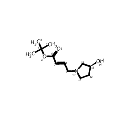 CC(C)(C)OC(=O)/C=C/CN1CC[C@H](O)C1